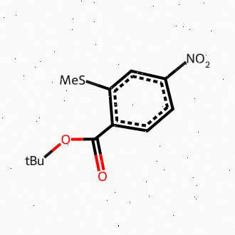 CSc1cc([N+](=O)[O-])ccc1C(=O)OC(C)(C)C